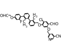 Cc1c(COc2cc(OCc3cncc(C#N)c3)c(C=O)cc2Cl)cccc1-c1cccc(-c2ccc(OCC=O)cc2F)c1C